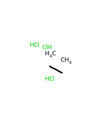 C.C.CC.Cl.Cl.Cl